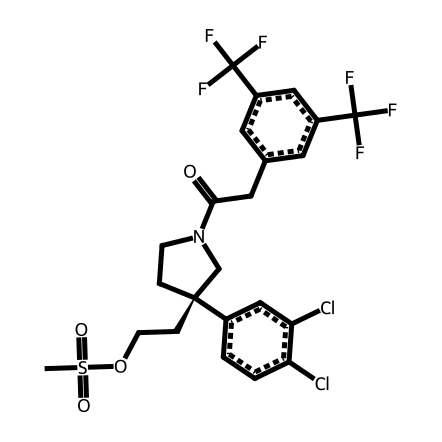 CS(=O)(=O)OCC[C@@]1(c2ccc(Cl)c(Cl)c2)CCN(C(=O)Cc2cc(C(F)(F)F)cc(C(F)(F)F)c2)C1